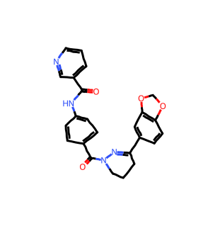 O=C(Nc1ccc(C(=O)N2CCCC(c3ccc4c(c3)OCO4)=N2)cc1)c1cccnc1